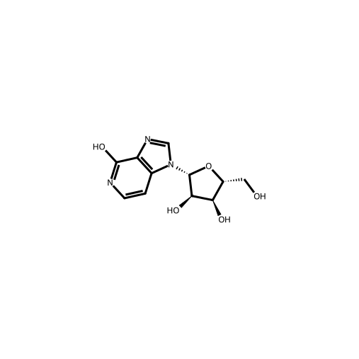 OC[C@H]1O[C@@H](n2cnc3c(O)nccc32)[C@H](O)[C@@H]1O